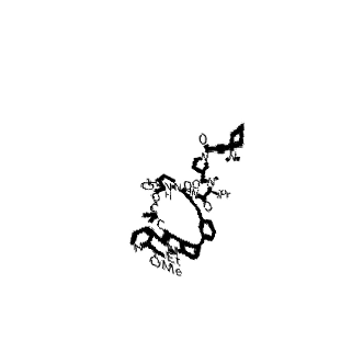 CCn1c(-c2cccnc2[C@H](C)OC)c2c3cc(ccc31)-c1cccc(c1)C[C@H](NC(=O)[C@H](C(C)C)N(C)C(=O)C1CCN(C(=O)C#CC3(N(C)C)CCC3)C1)C(=O)N1CCC[C@H](N1)C(=O)OCC(C)(C)C2